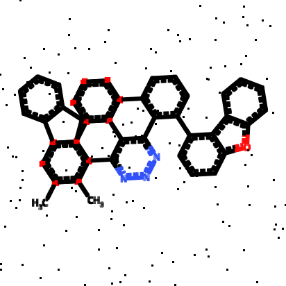 Cc1cc2c(c(-c3nnnc(-c4c(-c5ccccc5)cccc4-c4cccc5oc6ccccc6c45)c3-c3ccccc3-c3ccccc3)c1C)Cc1ccccc1-2